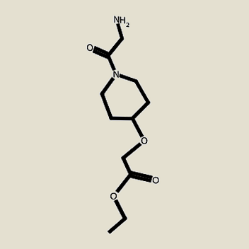 CCOC(=O)COC1CCN(C(=O)CN)CC1